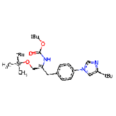 CC(C)(C)OC(=O)N[C@H](CO[Si](C)(C)C(C)(C)C)Cc1ccc(-n2cnc(C(C)(C)C)c2)cc1